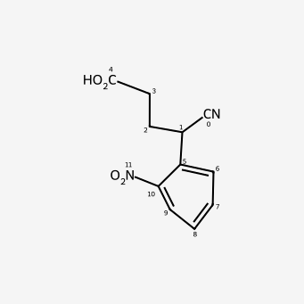 N#CC(CCC(=O)O)c1ccccc1[N+](=O)[O-]